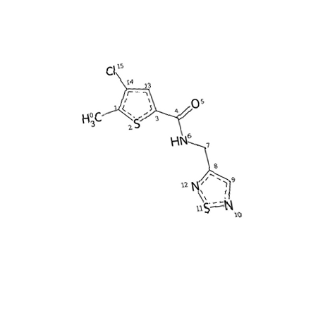 Cc1sc(C(=O)NCc2cnsn2)cc1Cl